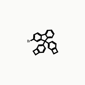 Brc1ccc2c(c1)C(c1ccc3c(c1)CC3)(c1ccc3c(c1)CC3)c1ccccc1-2